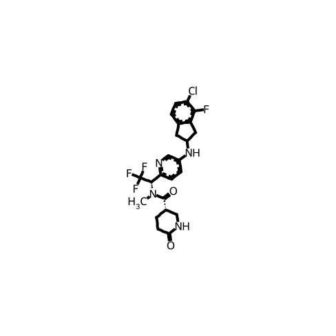 CN(C(=O)[C@H]1CCC(=O)NC1)[C@@H](c1ccc(NC2Cc3ccc(Cl)c(F)c3C2)cn1)C(F)(F)F